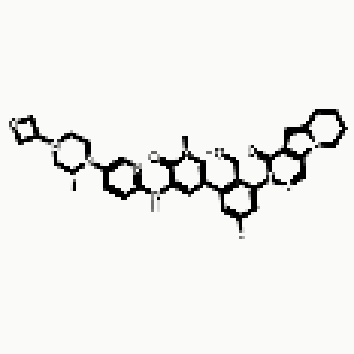 C[C@H]1CN(C2COC2)CCN1c1ccc(Nc2cc(-c3cc(F)cc(-n4ncc5c(cc6n5CCCC6)c4=O)c3CO)cn(C)c2=O)nc1